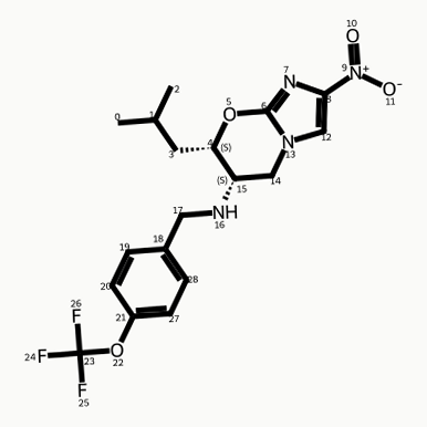 CC(C)C[C@@H]1Oc2nc([N+](=O)[O-])cn2C[C@@H]1NCc1ccc(OC(F)(F)F)cc1